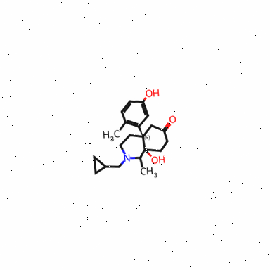 Cc1ccc(O)cc1[C@]12CCN(CC3CC3)C(C)C1(O)CCC(=O)C2